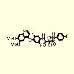 CCC(C)(C(=O)Nc1ccc(F)cc1)C(=O)Nc1cc(F)c(Oc2ccnc3cc(OC)c(OC)cc23)cc1F